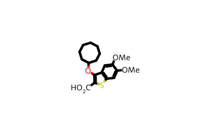 COc1cc2sc(C(=O)O)c(OC3CCCCCCC3)c2cc1OC